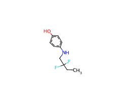 CCC(F)(F)CNc1ccc(O)cc1